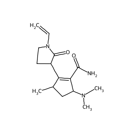 C=CN1CCC(C2=C(C(N)=O)C(N(C)C)CC2C)C1=O